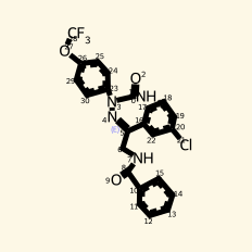 NC(=O)N(/N=C(/CNC(=O)c1ccccc1)c1cccc(Cl)c1)c1ccc(OC(F)(F)F)cc1